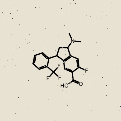 CN(C)C1CC(c2ccccc2C(F)(F)F)c2cc(C(=O)O)c(F)cc21